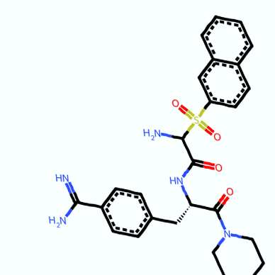 N=C(N)c1ccc(C[C@H](NC(=O)C(N)S(=O)(=O)c2ccc3ccccc3c2)C(=O)N2CCCCC2)cc1